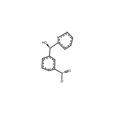 O=[N+]([O-])c1cccc([C@@H](O)c2ccccn2)c1